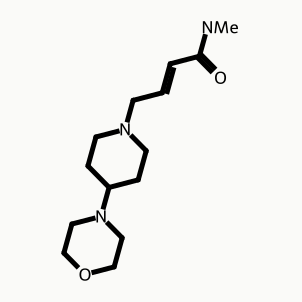 CNC(=O)/C=C/CN1CCC(N2CCOCC2)CC1